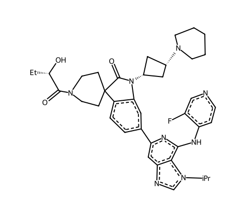 CC[C@H](O)C(=O)N1CCC2(CC1)C(=O)N([C@H]1C[C@@H](N3CCCCC3)C1)c1cc(-c3cc4ncn(C(C)C)c4c(Nc4ccncc4F)n3)ccc12